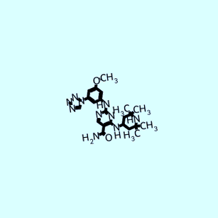 COc1cc(Nc2ncc(C(N)=O)c(NC3CC(C)(C)NC(C)(C)C3)n2)cc(-n2cnnn2)c1